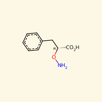 NO[C@H](Cc1ccccc1)C(=O)O